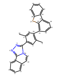 Cc1cc(-c2nnc3c4ccccc4ccn23)c(C)cc1-c1cccc2c1sc1ccccc12